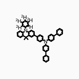 [2H]c1c([2H])c([2H])c(N2c3ccccc3C(C)(C)c3cc(-c4ccc(N(c5ccc(-c6ccccc6)cc5)c5ccc(-c6ccccc6)cc5)cc4)ccc32)c([2H])c1[2H]